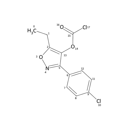 CCc1onc(-c2ccc(Cl)cc2)c1OC(=O)Cl